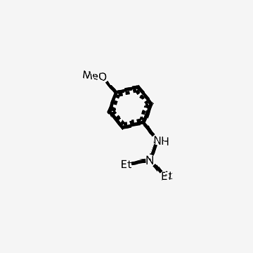 CCN(CC)Nc1ccc(OC)cc1